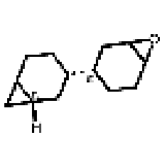 C1C[C@H](C2CCC3C[C@H]3C2)CC2OC12